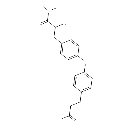 CN(C)C(=O)C(N)Cc1ccc(Oc2ccc(CCC(N)=O)cc2)cc1.Cl